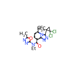 CCN(C(=O)c1ccc(C(F)(F)F)n2c(C3(C)CC3(Cl)Cl)nnc12)c1nnc(C)o1